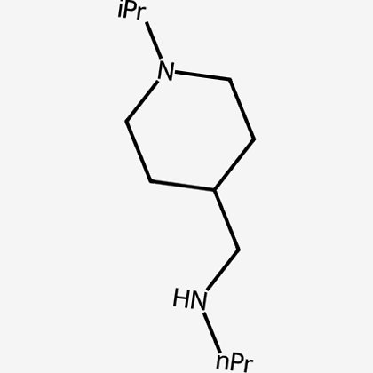 CCCNCC1CCN(C(C)C)CC1